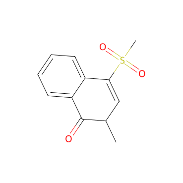 CC1C=C(S(C)(=O)=O)c2ccccc2C1=O